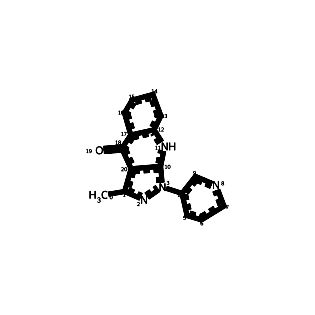 Cc1nn(-c2cccnc2)c2[nH]c3ccccc3c(=O)c12